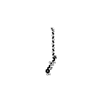 CN(C)C(CNC(=O)NCCc1cn(CCOCCOCCOCCOCCOCCN=[N+]=[N-])nn1)Cc1ccc(O)cc1